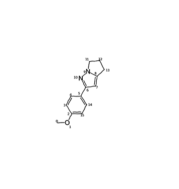 COc1ccc(-c2cc3n(n2)CCC3)cc1